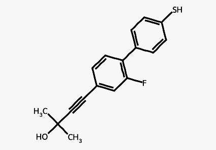 CC(C)(O)C#Cc1ccc(-c2ccc(S)cc2)c(F)c1